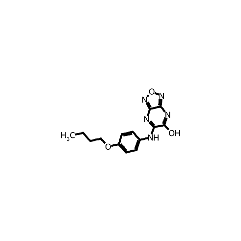 CCCCOc1ccc(Nc2nc3nonc3nc2O)cc1